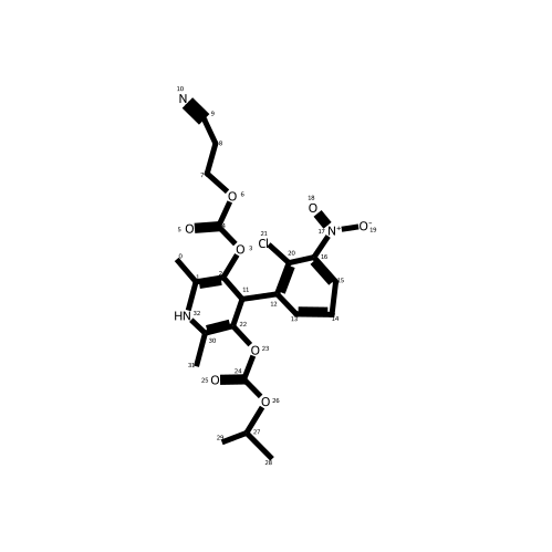 CC1=C(OC(=O)OCCC#N)C(c2cccc([N+](=O)[O-])c2Cl)C(OC(=O)OC(C)C)=C(C)N1